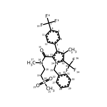 Cc1c(-c2ccc(C(F)(F)F)cc2)c(C(=O)N(C)CCS(C)(=O)=O)n(Cc2ccccc2)c1C(F)(F)F